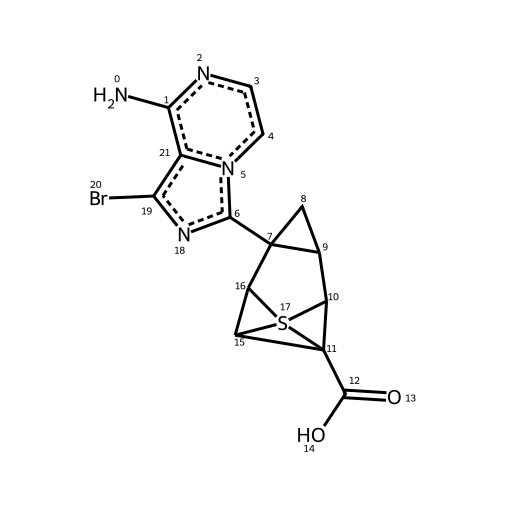 Nc1nccn2c(C34CC3C3C5(C(=O)O)C6C4S365)nc(Br)c12